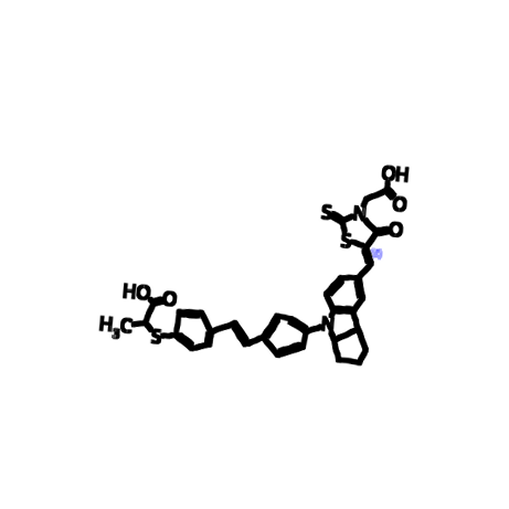 CC(Sc1ccc(C=Cc2ccc(N3c4ccc(/C=C5\SC(=S)N(CC(=O)O)C5=O)cc4C4CCCC43)cc2)cc1)C(=O)O